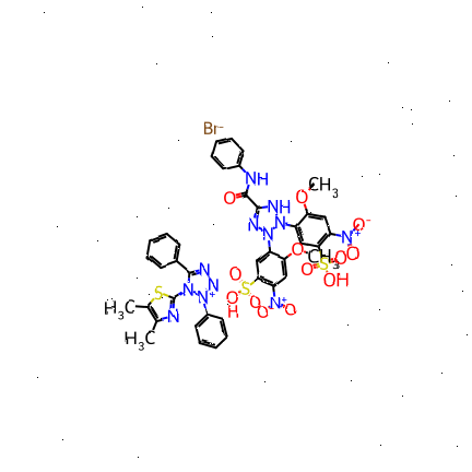 COc1cc([N+](=O)[O-])c(S(=O)(=O)O)cc1N1N=C(C(=O)Nc2ccccc2)NN1c1cc(S(=O)(=O)O)c([N+](=O)[O-])cc1OC.Cc1nc(-n2c(-c3ccccc3)nn[n+]2-c2ccccc2)sc1C.[Br-]